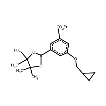 CCOC(=O)c1cc(OCC2CC2)cc(B2OC(C)(C)C(C)(C)O2)c1